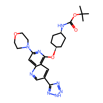 CC(C)(C)OC(=O)N[C@H]1CC[C@@H](Oc2nc(N3CCOCC3)cc3ncc(-c4nn[nH]n4)cc23)CC1